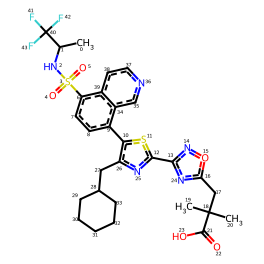 CC(NS(=O)(=O)c1ccc(-c2sc(-c3noc(CC(C)(C)C(=O)O)n3)nc2CC2CCCCC2)c2cnccc12)C(F)(F)F